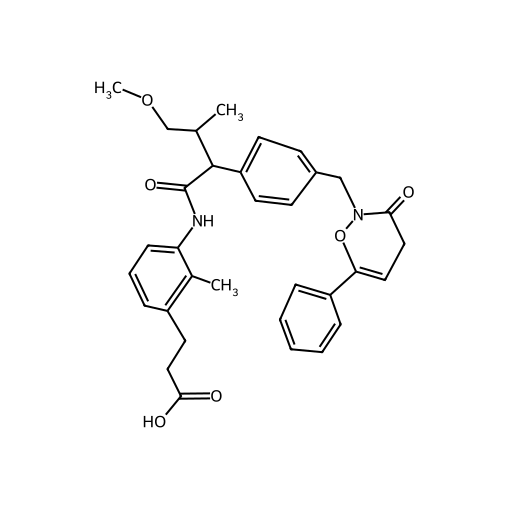 COCC(C)C(C(=O)Nc1cccc(CCC(=O)O)c1C)c1ccc(CN2OC(c3ccccc3)=CCC2=O)cc1